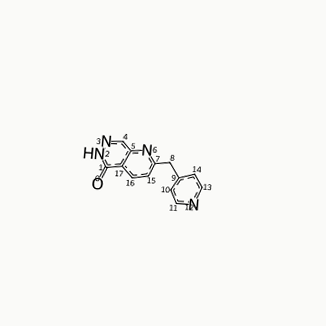 O=c1[nH]ncc2nc(Cc3ccncc3)ccc12